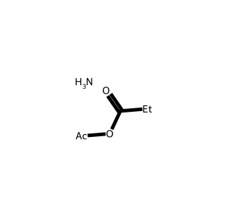 CCC(=O)OC(C)=O.N